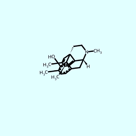 CC1=C[C@]23CCN(C)[C@H](Cc4ccc(C)c(O)c42)C3=C[C@H]1C